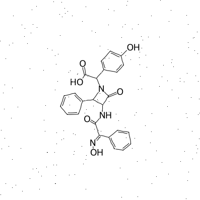 O=C(NC1C(=O)N(C(C(=O)O)c2ccc(O)cc2)C1c1ccccc1)/C(=N/O)c1ccccc1